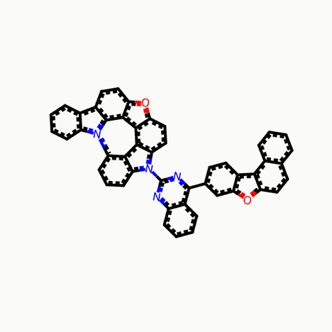 c1ccc2c(c1)ccc1oc3cc(-c4nc(-n5c6ccc7oc8ccc9c%10ccccc%10n%10c%11cccc5c%11c6c7c8c9%10)nc5ccccc45)ccc3c12